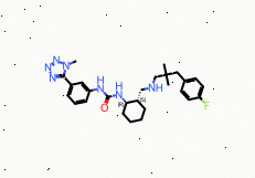 Cn1nnnc1-c1cccc(NC(=O)N[C@@H]2CCCC[C@H]2CNCC(C)(C)Cc2ccc(F)cc2)c1